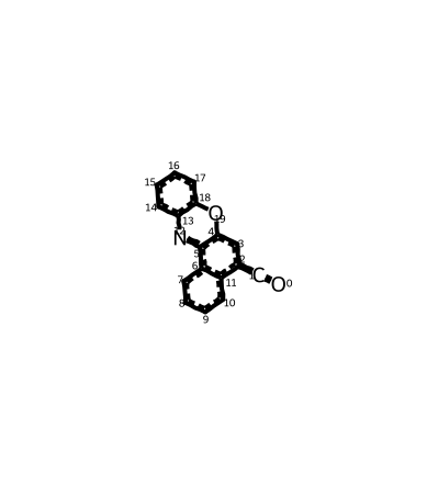 O=C=c1cc2c(c3ccccc13)=Nc1ccccc1O2